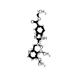 CCOC(=O)c1ccc2[nH]c([S+]([O-])Cc3nccc(OC)c3OC)nc2c1